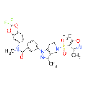 Cc1noc(C)c1S(=O)(=O)N1CCc2c(c(C(F)(F)F)nn2-c2cccc(C(=O)N(C)c3ccc4c(c3)OC(F)(F)O4)c2)C1